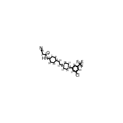 N#CCC(=O)NC1CCC(CCN2CCN(c3cc(Cl)cc(C(F)(F)F)c3)CC2)CC1